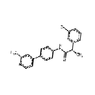 Cc1cc(-c2ccc(NC(=O)[C@H](C)c3cccc(Cl)c3)cc2)ccn1